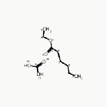 CCCCCC(=O)OCC.O=C(O)O